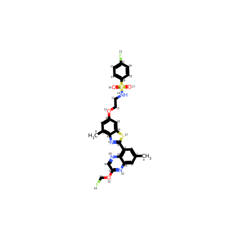 Cc1cc(-c2nc3c(C)cc(OCCNS(=O)(=O)c4ccc(F)cc4)cc3s2)c2ncc(OCF)nc2c1